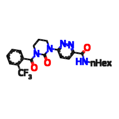 CCCCCCNC(=O)c1ccc(N2CCCN(C(=O)c3ccccc3C(F)(F)F)C2=O)nn1